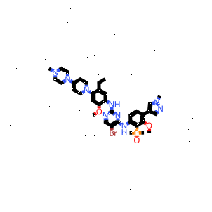 CCC1=CC(Nc2ncc(Br)c(Nc3ccc(-c4cnn(C)c4)c(OC)c3P(C)(C)=O)n2)C(OC)C=C1N1CCC(N2CCN(C)CC2)CC1